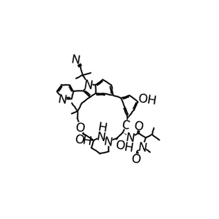 CC(C)C(C(=O)N[C@H]1Cc2cc(O)cc(c2)-c2ccc3c(c2)c(c(-c2cccnc2)n3C(C)(C)C#N)CC(C)(C)COC(=O)[C@@H]2CCCN(N2)C1=O)N(C)C=O